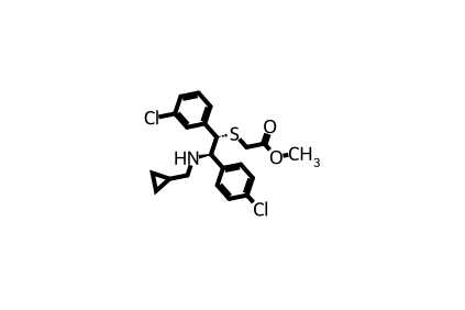 COC(=O)CS[C@@H](c1cccc(Cl)c1)[C@H](NCC1CC1)c1ccc(Cl)cc1